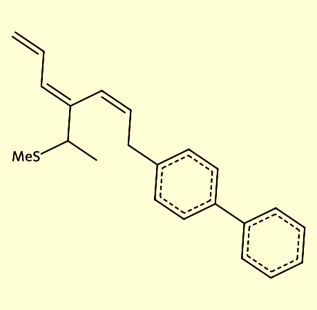 C=C/C=C(\C=C/Cc1ccc(-c2ccccc2)cc1)C(C)SC